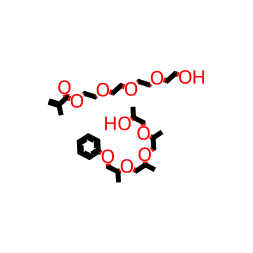 C=C(C)C(=O)OCCOCCOCCOCCO.CC(O)COC(C)COC(C)COC(C)COc1ccccc1